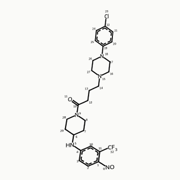 O=Nc1ccc(NC2CCN(C(=O)CCCN3CCN(c4ccc(Cl)cc4)CC3)CC2)cc1C(F)(F)F